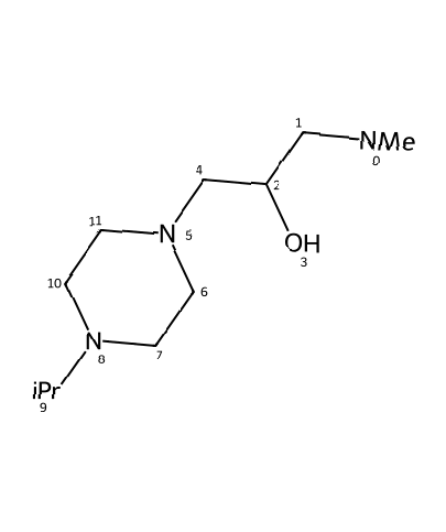 CNCC(O)CN1CCN(C(C)C)CC1